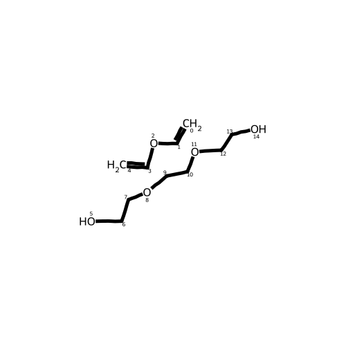 C=COC=C.OCCOCCOCCO